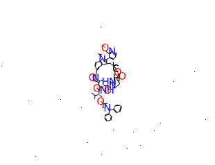 CCn1c(-c2cccnc2[C@H](C)OC)c2c3cc(ccc31)-c1nc(co1)C[C@H](NC(=O)[C@@H](COC1CN(C(c3ccccc3)c3ccccc3)C1)C(C)C)C(=O)N1CCC[C@H](N1)C(=O)OCC(C)(C)C2